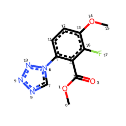 COC(=O)c1c(-n2cnnn2)ccc(OC)c1F